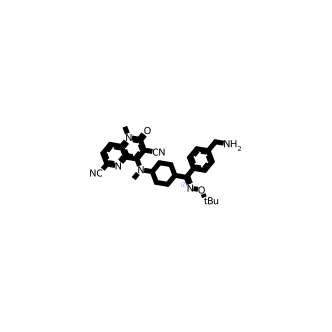 CN(c1c(C#N)c(=O)n(C)c2ccc(C#N)nc12)C1CCC(/C(=N/OC(C)(C)C)c2ccc(CN)cc2)CC1